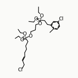 CCO[Si](CCCCC=CCCl)(OCC)OCCCO[Si](CCc1cc(Cl)ccc1C)(OCC)OCC